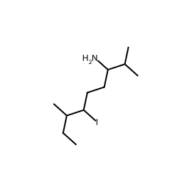 CCC(C)C(I)CCC(N)C(C)C